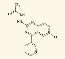 O=C(NNc1nc(-c2ccccc2)c2cc(Cl)ccc2n1)C(F)(F)F